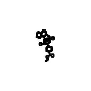 CCOC(=O)c1ccc(C(CS(=O)(=O)Cc2cnc3ccccc3c2)N(O)C=O)cc1